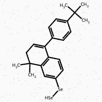 CC(C)(C)c1ccc(C2=CCC(C)(C)c3cc([Se][SeH])ccc32)cc1